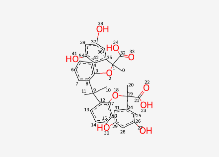 CC(Oc1ccccc1C(C)(C)c1ccccc1OC(C)(C(=O)O)c1cc(O)cc(O)c1)(C(=O)O)c1cc(O)cc(O)c1